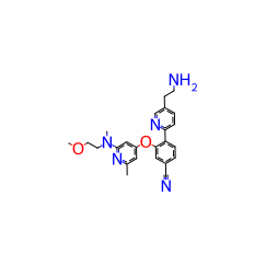 COCCN(C)c1cc(Oc2cc(C#N)ccc2-c2ccc(CCN)cn2)cc(C)n1